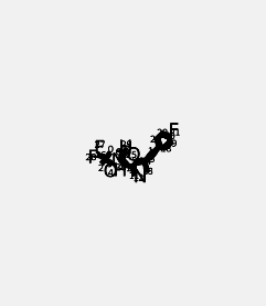 CC(C)(C(=O)N1C[C@@H]2C[C@H]1c1cncc(C#Cc3ccc(F)cc3)c1O2)C(F)F